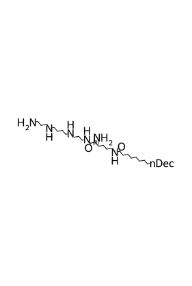 CCCCCCCCCCCCCCCCCC(=O)NCCCC[C@@H](N)C(=O)NCCCNCCCCNCCCN